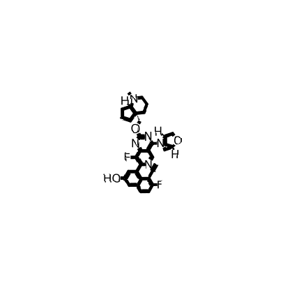 C#Cc1c(F)ccc2cc(O)cc(-c3ncc4c(N5C[C@@H]6C[C@H]5CO6)nc(OC[C@]56CCC[C@H]5N(C)CCC6)nc4c3F)c12